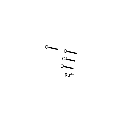 C[O-].C[O-].C[O-].C[O-].[Ru+4]